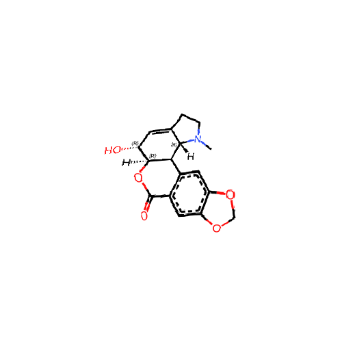 CN1CCC2=C[C@@H](O)[C@@H]3OC(=O)c4cc5c(cc4C3[C@H]21)OCO5